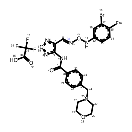 O=C(Nc1nonc1/C=N/ONc1ccc(F)c(Br)c1)c1ccc(CN2CCOCC2)cc1.O=C(O)C(F)(F)F